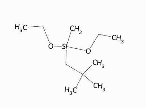 CCO[Si](C)(CC(C)(C)C)OCC